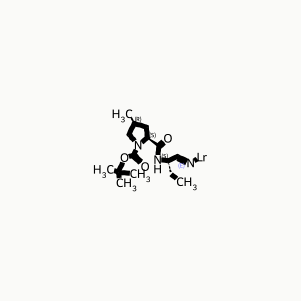 CC[C@@H](/C=[N]/[Lr])NC(=O)[C@@H]1C[C@@H](C)CN1C(=O)OC(C)(C)C